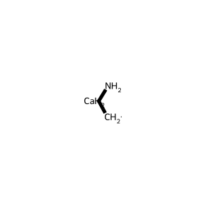 [CH2]CN.[CaH2]